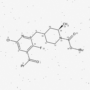 CC(C)C(=O)c1cc(Cl)nc(CC2CCN(C(=O)OC(C)(C)C)[C@H](C)C2)c1F